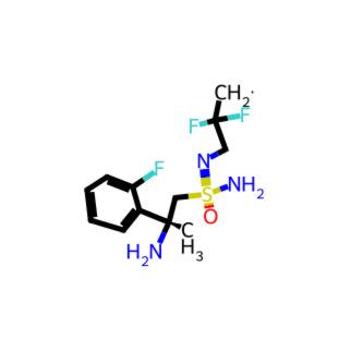 [CH2]C(F)(F)CN=S(N)(=O)C[C@](C)(N)c1ccccc1F